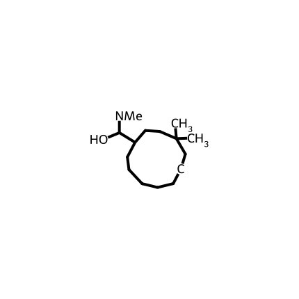 CNC(O)C1CCCCCCCC(C)(C)CC1